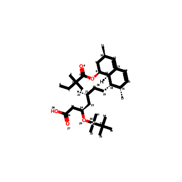 CCC(C)(C)C(=O)O[C@H]1C[C@@H](C)C=C2C=C[C@H](C)[C@H](CC[C@@H](C)C[C@H](CC(=O)O)O[Si](C)(C)C(C)(C)C)[C@H]21